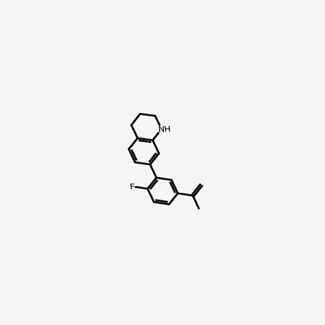 C=C(C)c1ccc(F)c(-c2ccc3c(c2)NCCC3)c1